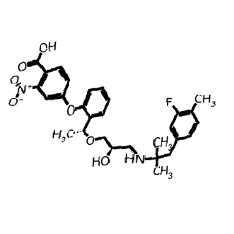 Cc1ccc(CC(C)(C)NC[C@@H](O)CO[C@H](C)c2ccccc2Oc2ccc(C(=O)O)c([N+](=O)[O-])c2)cc1F